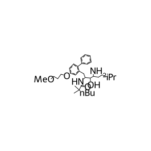 CCCCC(C)(C)C(=O)NC(Cc1cc(OCCCOC)ccc1-c1ccccc1)C(O)C(N)CCC(C)C